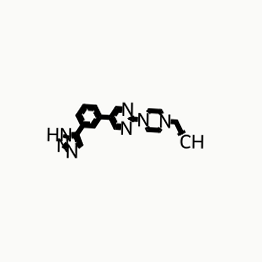 C#CCN1CCN(c2ncc(-c3cccc(-c4cnn[nH]4)c3)cn2)CC1